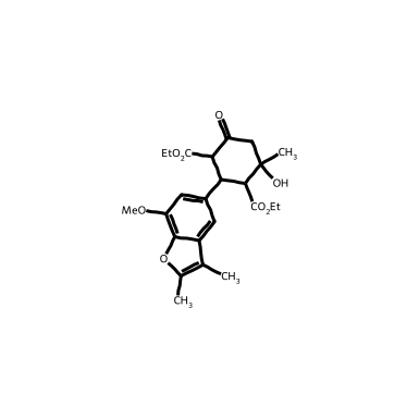 CCOC(=O)C1C(=O)CC(C)(O)C(C(=O)OCC)C1c1cc(OC)c2oc(C)c(C)c2c1